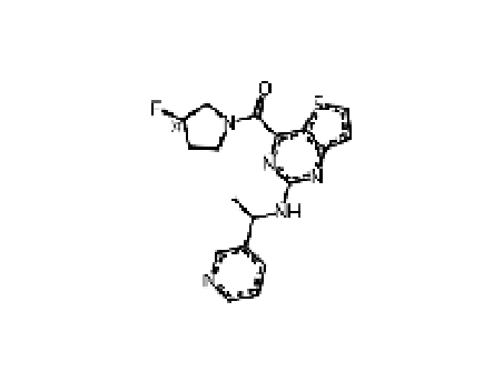 CC(Nc1nc(C(=O)N2CC[C@@H](F)C2)c2sccc2n1)c1cccnc1